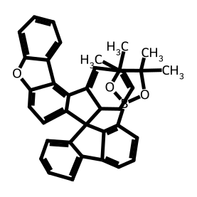 CC1(C)OB(c2cccc3c2C2(c4ccccc4-3)c3ccc4oc5ccccc5c4c3C3=CC=CCC32)OC1(C)C